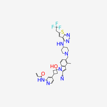 C=CC(=O)Nc1cc(C2CC(O)(n3c(C#N)cc4c(C)c(CN5CCC(Nc6ncnc7sc(CC(F)(F)F)cc67)CC5)ccc43)C2)ccn1